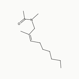 CCCCCC/C=C(/C)CN(C)C(C)=O